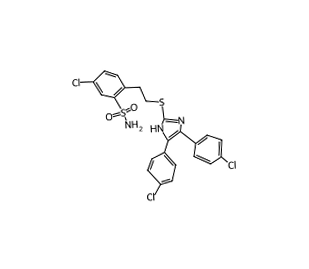 NS(=O)(=O)c1cc(Cl)ccc1CCSc1nc(-c2ccc(Cl)cc2)c(-c2ccc(Cl)cc2)[nH]1